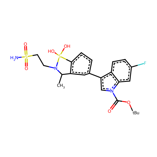 CC1c2cc(-c3cn(C(=O)OC(C)(C)C)c4cc(F)ccc34)ccc2S(O)(O)N1CCS(N)(=O)=O